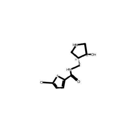 O=C(NC[C@@H]1CNC[C@H]1O)c1ccc(Cl)s1